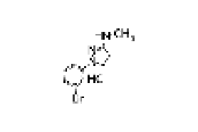 CNC1=NN(c2cccc(Br)c2)CC1.Cl